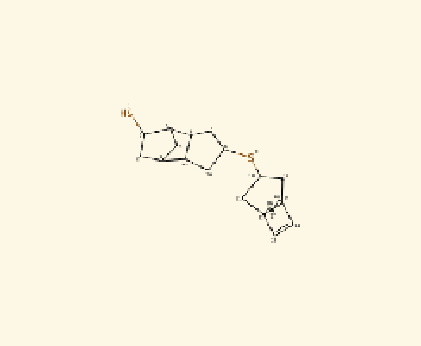 SC1CC2CC1C1CC(SC3CC45C=CC4(CCC5)C3)CC21